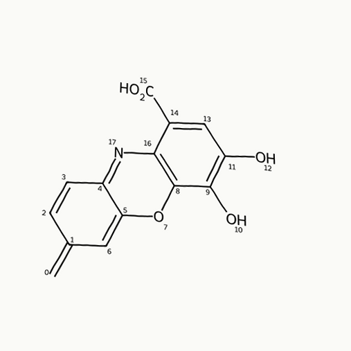 C=c1ccc2c(c1)Oc1c(O)c(O)cc(C(=O)O)c1N=2